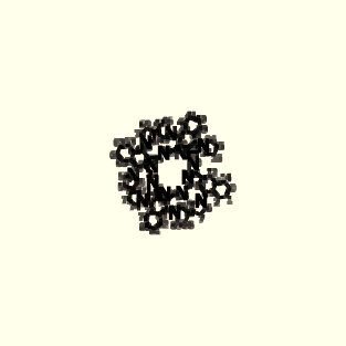 c1ccc2c(N3CCCC3)c3c(cc2c1)-c1nc-3nc2[nH]c(nc3nc(nc4[nH]c(n1)c1c(N5CCCC5)c5ccccc5c(N5CCCC5)c41)-c1c-3c(N3CCCC3)c3ccccc3c1N1CCCC1)c1c(N3CCCC3)c3ccccc3c(N3CCCC3)c21